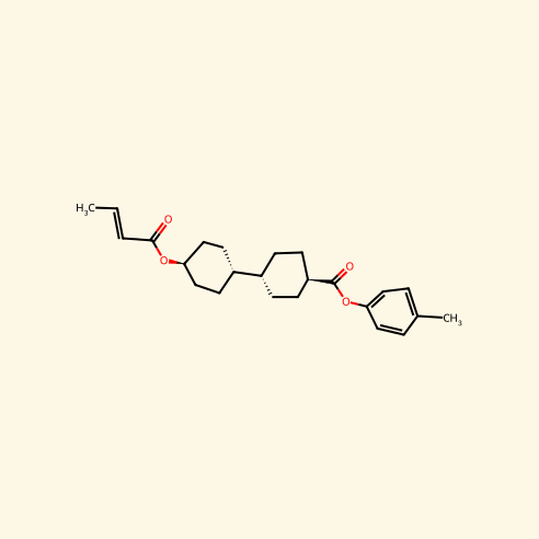 CC=CC(=O)O[C@H]1CC[C@H]([C@H]2CC[C@H](C(=O)Oc3ccc(C)cc3)CC2)CC1